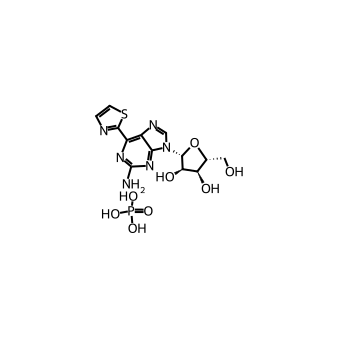 Nc1nc(-c2nccs2)c2ncn([C@@H]3O[C@H](CO)[C@@H](O)[C@H]3O)c2n1.O=P(O)(O)O